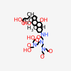 CC(CCC(=O)O)[C@H]1CCC2C3C(C[C@H](O)[C@@]21C)[C@@]1(C)CC[C@H](NC(=O)CN(CCN(CC=O)CC=O)CCN(CC(=O)O)CC(=O)O)C[C@H]1C[C@H]3O